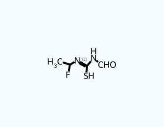 CC(F)/N=C(\S)NC=O